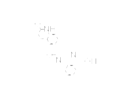 CN(C(=O)Cc1ccc2[nH]c(=O)ccc2c1)C(CN1CC[C@H](O)C1)c1ccccc1